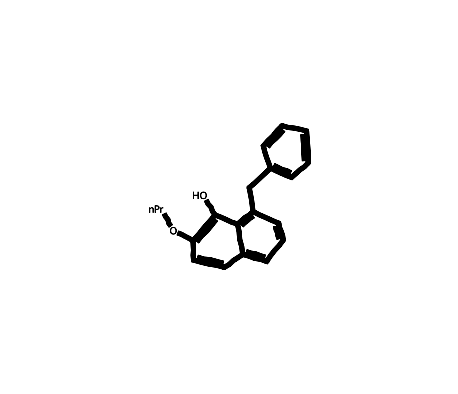 CCCOc1ccc2cccc(Cc3ccccc3)c2c1O